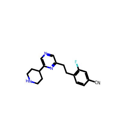 N#Cc1ccc(CCc2cncc(C3CCNCC3)n2)c(F)c1